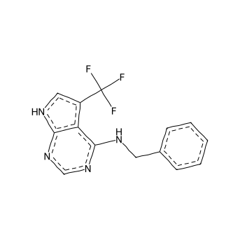 FC(F)(F)c1c[nH]c2ncnc(NCc3ccccc3)c12